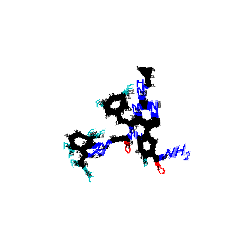 NC(=O)c1cc(-c2cnc(NCC3CC3)nc2C(Cc2cc(F)cc(F)c2)NC(=O)Cn2nc(C(F)F)c3c2C(F)(F)CCC3(F)F)ccc1F